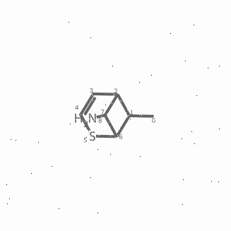 CC1C2C=CSC1C2N